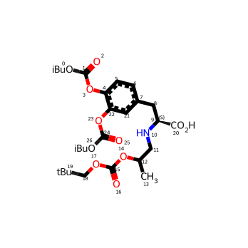 CC(C)COC(=O)Oc1ccc(C[C@H](NCC(C)OC(=O)OCC(C)(C)C)C(=O)O)cc1OC(=O)OCC(C)C